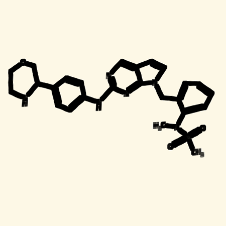 CN(c1ccccc1Cn1ccc2cnc(Nc3ccc(C4COCCN4)cc3)nc21)S(C)(=O)=O